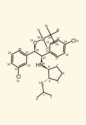 CC(C)S[C@H]1CCC[C@@H]1N[C@H](c1ccc(Cl)cc1)[C@H](O[Si](C)(C)C(C)(C)C)c1cccc(Cl)c1